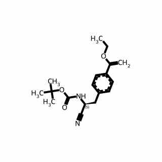 C=C(OCC)c1ccc(C[C@@H](C#N)NC(=O)OC(C)(C)C)cc1